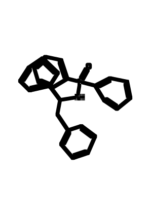 O=P(NC(Cc1ccccc1)c1ccccc1)(c1ccccc1)c1ccccc1